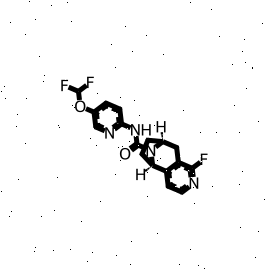 O=C(Nc1ccc(OC(F)F)cn1)N1[C@H]2CC[C@@H]1c1ccnc(F)c1C2